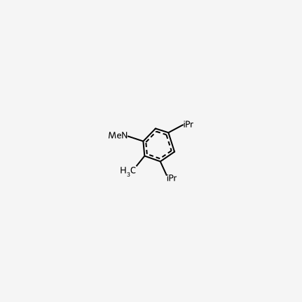 CNc1cc(C(C)C)cc(C(C)C)c1C